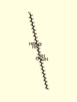 CCCCCCCCCCCCCCCCC(O)C(=O)NCCCCNC(=O)C(O)CCCCCCCCCCCCCCCC